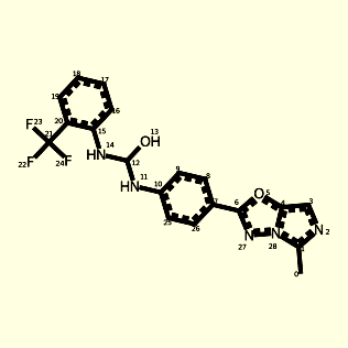 Cc1ncc2oc(-c3ccc(NC(O)Nc4ccccc4C(F)(F)F)cc3)nn12